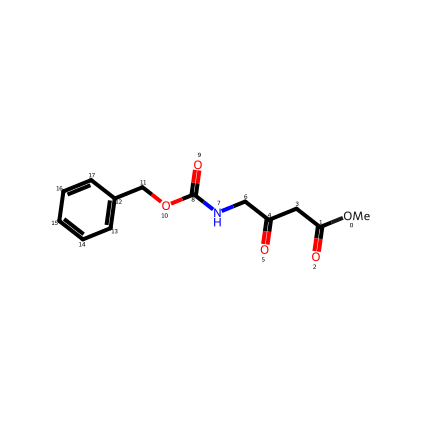 COC(=O)CC(=O)CNC(=O)OCc1ccccc1